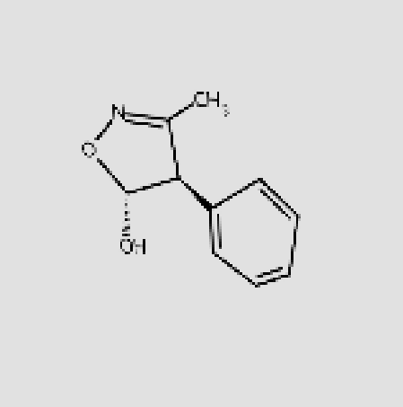 CC1=NO[C@@H](O)[C@@H]1c1ccccc1